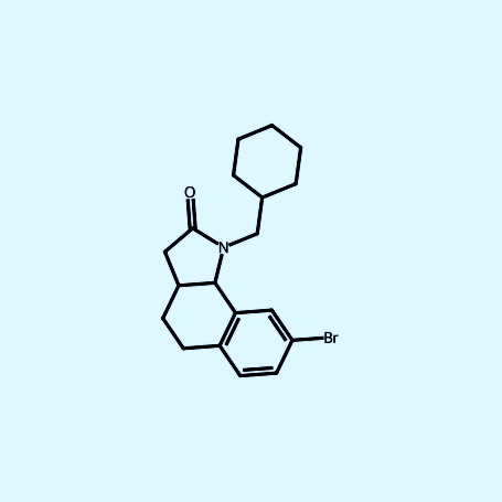 O=C1CC2CCc3ccc(Br)cc3C2N1CC1CCCCC1